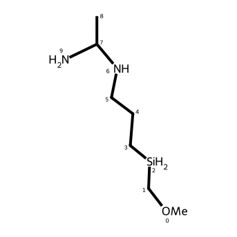 COC[SiH2]CCCNC(C)N